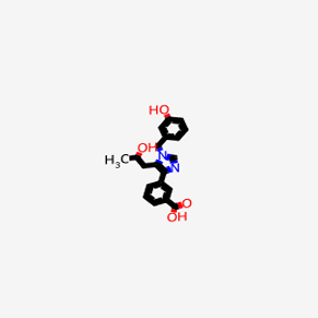 CC(O)Cc1c(-c2cccc(C(=O)O)c2)ncn1Cc1cccc(O)c1